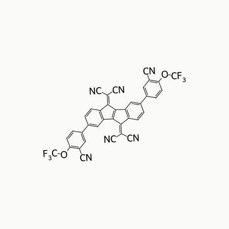 N#CC(C#N)=C1C2=C(C(=C(C#N)C#N)c3ccc(-c4ccc(OC(F)(F)F)c(C#N)c4)cc32)c2cc(-c3ccc(OC(F)(F)F)c(C#N)c3)ccc21